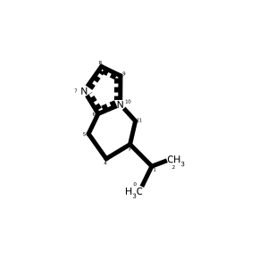 CC(C)C1CCc2nccn2C1